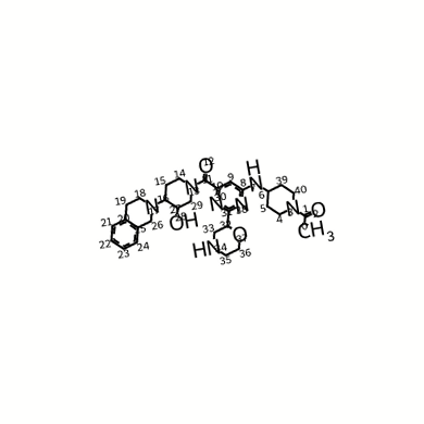 CC(=O)N1CCC(Nc2cc(C(=O)N3CCC(N4CCc5ccccc5C4)C(O)C3)nc(C3CNCCO3)n2)CC1